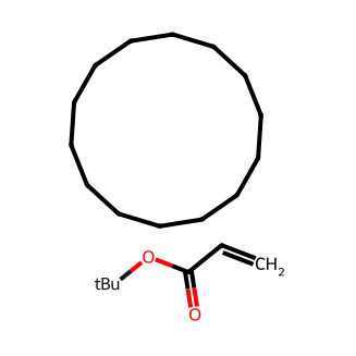 C1CCCCCCCCCCCCC1.C=CC(=O)OC(C)(C)C